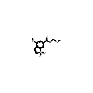 COCOC(=O)c1cc(OC)c2c(c1)S(=O)(=O)C=C2